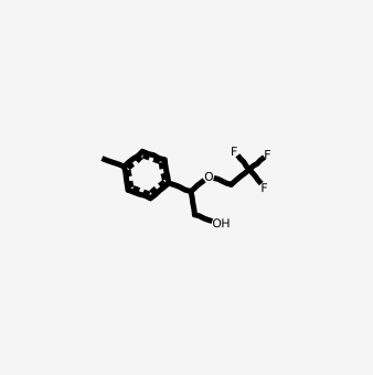 Cc1ccc(C(CO)OCC(F)(F)F)cc1